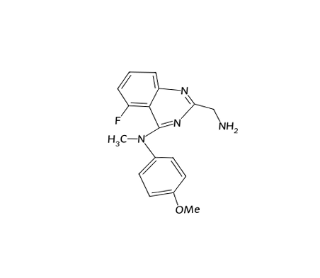 COc1ccc(N(C)c2nc(CN)nc3cccc(F)c23)cc1